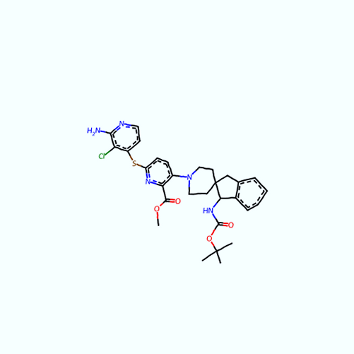 COC(=O)c1nc(Sc2ccnc(N)c2Cl)ccc1N1CCC2(CC1)Cc1ccccc1C2NC(=O)OC(C)(C)C